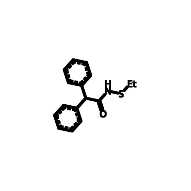 CCSNC(=O)C(c1ccccc1)c1ccccc1